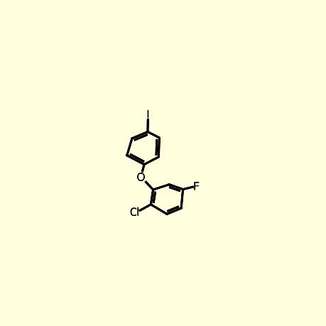 Fc1ccc(Cl)c(Oc2ccc(I)cc2)c1